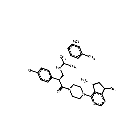 CC(C)NC[C@@H](C(=O)N1CCN(c2ncnc3c2[C@H](C)C[C@H]3O)CC1)c1ccc(Cl)cc1.Cc1ccccc1.Cl